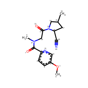 COc1ccc(C(=O)N(C)CC(=O)N2CC(C)CC2C#N)nc1